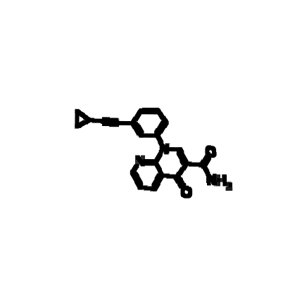 NC(=O)c1cn(-c2cccc(C#CC3CC3)c2)c2ncccc2c1=O